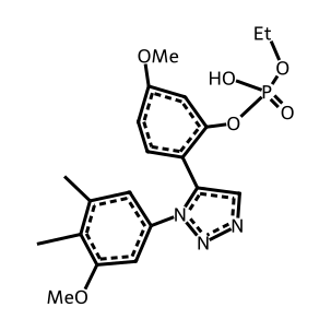 CCOP(=O)(O)Oc1cc(OC)ccc1-c1cnnn1-c1cc(C)c(C)c(OC)c1